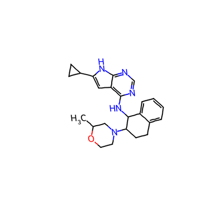 CC1CN(C2CCc3ccccc3C2Nc2ncnc3[nH]c(C4CC4)cc23)CCO1